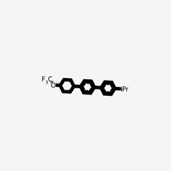 CC(C)c1ccc(-c2ccc(C3CCC(OC(F)(F)F)CC3)cc2)cc1